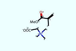 C=C(C)C(=O)OC.C[N+](C)(C)CC(=O)[O-]